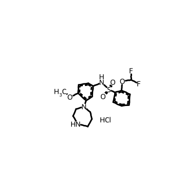 COc1ccc(NS(=O)(=O)c2ccccc2OC(F)F)cc1N1CCCNCC1.Cl